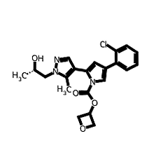 Cc1c(-c2cc(-c3ccccc3Cl)cn2C(=O)OC2COC2)cnn1C[C@H](C)O